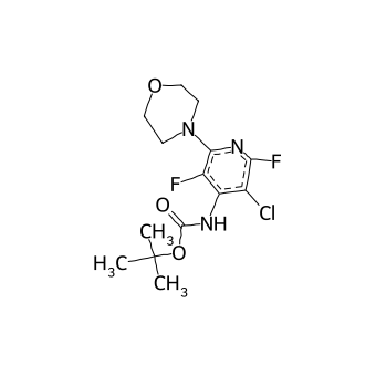 CC(C)(C)OC(=O)Nc1c(F)c(N2CCOCC2)nc(F)c1Cl